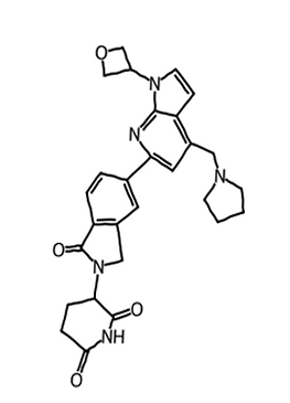 O=C1CCC(N2Cc3cc(-c4cc(CN5CCCC5)c5ccn(C6COC6)c5n4)ccc3C2=O)C(=O)N1